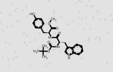 COC(=O)[C@H](Cc1ccc(O)cc1)NC(=O)[C@H](Cc1c[nH]c2ccccc12)NC(=O)OC(C)(C)C